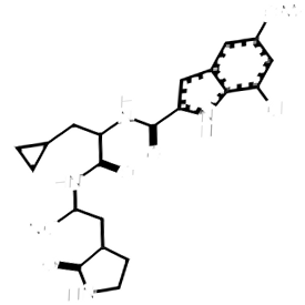 COc1cc(Cl)c2[nH]c(C(=O)NC(CC3CC3)C(=O)NC(C#N)CC3CCNC3=O)cc2c1